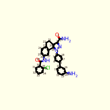 NC(=O)c1nn(-c2ccc(-c3cccc(N)c3)cc2)c2c1CCc1ccc(NC(=O)c3ccccc3Cl)cc1-2